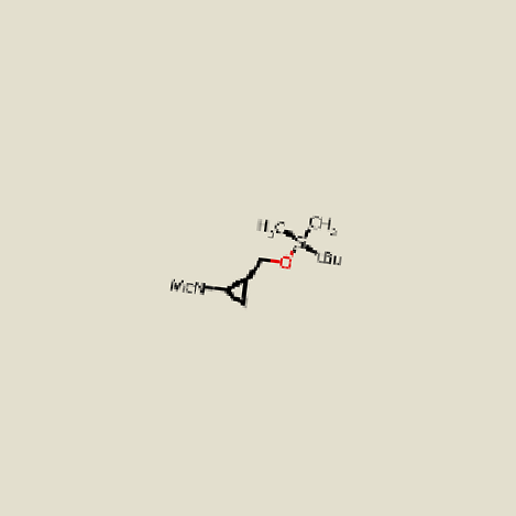 CNC1CC1CO[Si](C)(C)C(C)(C)C